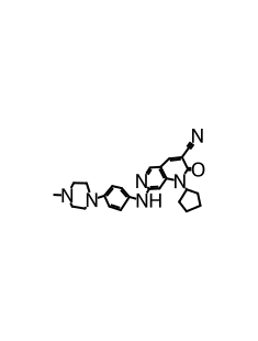 CN1CCN(c2ccc(Nc3cc4c(cn3)cc(C#N)c(=O)n4C3CCCC3)cc2)CC1